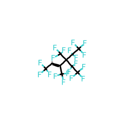 FC(F)(F)/[C]=C(\C(F)(F)F)C(C(F)(F)F)(C(F)(F)C(F)(F)F)C(F)(F)C(F)(F)F